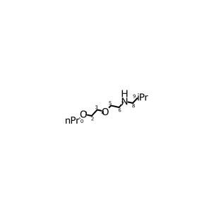 CCCOCCOCCNCC(C)C